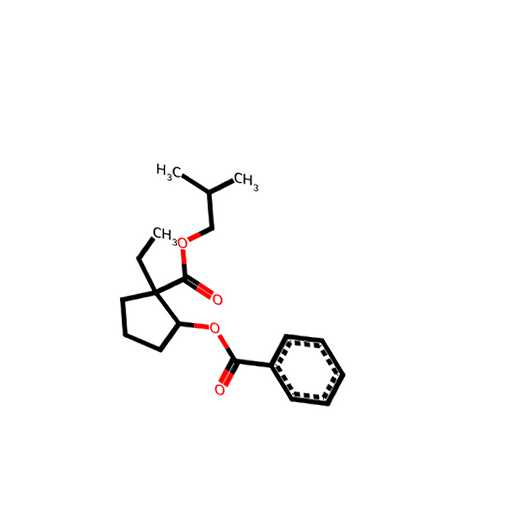 CCC1(C(=O)OCC(C)C)CCCC1OC(=O)c1ccccc1